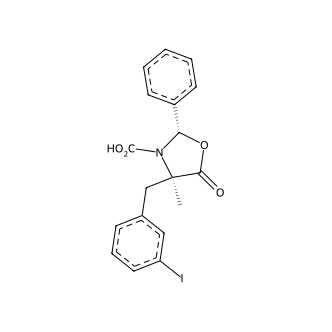 C[C@@]1(Cc2cccc(I)c2)C(=O)O[C@@H](c2ccccc2)N1C(=O)O